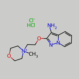 C[N+]1(CCOc2nn3ccccc3c2N)CCOCC1.Cl.[Cl-]